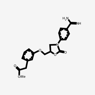 COC(=O)Cc1cccc(OCC2CN(c3ccc(C(=N)N)cc3)C(=O)O2)c1